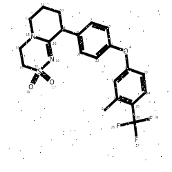 Cc1cc(Oc2ccc(C3CCCN4CCS(=O)(=O)N=C34)cc2)ccc1C(F)(F)F